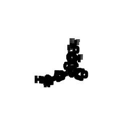 O=C1N(c2ccc(-c3cn[nH]c3)cc2)CC2(CCOCC2)N1Cc1cccc(OC(F)(F)F)c1F